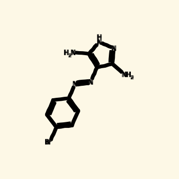 Nc1n[nH]c(N)c1N=Nc1ccc(Br)cc1